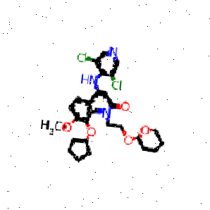 COc1ccc2c(Nc3c(Cl)cncc3Cl)cc(=O)n(CCOC3CCCCO3)c2c1OC1CCCC1